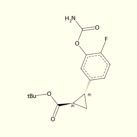 CC(C)(C)OC(=O)[C@@H]1C[C@H]1c1ccc(F)c(OC(N)=O)c1